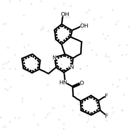 O=C(Cc1ccc(F)c(F)c1)Nc1nc2c(nc1Cc1ccccc1)-c1ccc(O)c(O)c1CC2